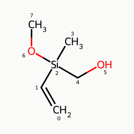 C=C[Si](C)(CO)OC